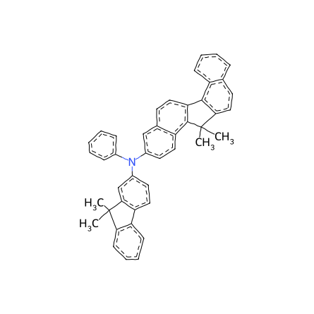 CC1(C)c2ccccc2-c2ccc(N(c3ccccc3)c3ccc4c5c(ccc4c3)-c3c(ccc4ccccc34)C5(C)C)cc21